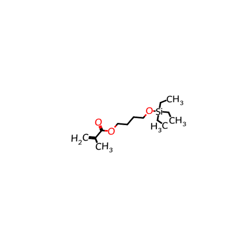 C=C(C)C(=O)OCCCCO[Si](CC)(CC)CC